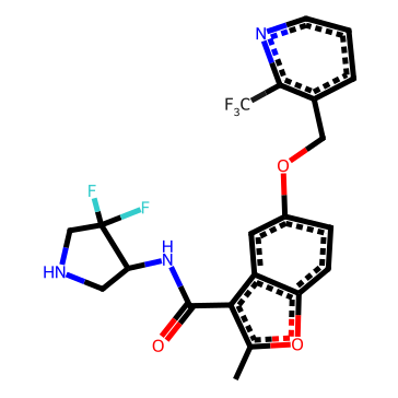 Cc1oc2ccc(OCc3cccnc3C(F)(F)F)cc2c1C(=O)NC1CNCC1(F)F